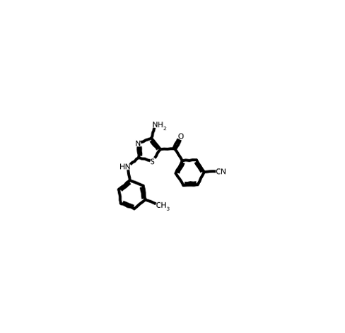 Cc1cccc(Nc2nc(N)c(C(=O)c3cccc(C#N)c3)s2)c1